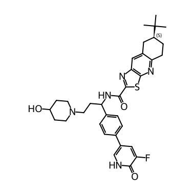 CC(C)(C)[C@H]1CCc2nc3sc(C(=O)NC(CCN4CCC(O)CC4)c4ccc(-c5c[nH]c(=O)c(F)c5)cc4)nc3cc2C1